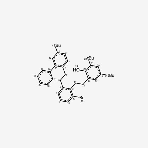 CC(C)(C)c1ccc(CCc2cccc(Br)c2CCc2cc(C(C)(C)C)cc(C(C)(C)C)c2O)c(-c2ccccc2)c1